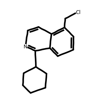 ClCc1cccc2c(C3CCCCC3)nccc12